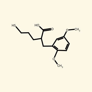 COc1ccc(OC)c(CC(CCCS)C(=O)O)c1